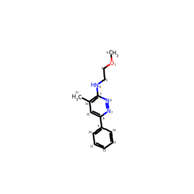 COCCNc1nnc(-c2ccccc2)cc1C